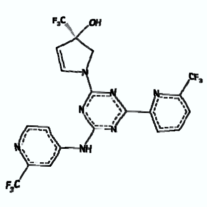 O[C@]1(C(F)(F)F)C=CN(c2nc(Nc3ccnc(C(F)(F)F)c3)nc(-c3cccc(C(F)(F)F)n3)n2)C1